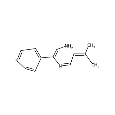 CC(C)=C/C=N\C(=C/N)c1ccncc1